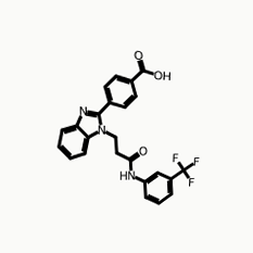 O=C(CCn1c(-c2ccc(C(=O)O)cc2)nc2ccccc21)Nc1cccc(C(F)(F)F)c1